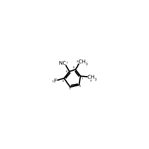 Cc1ccc(F)c(C#N)c1C